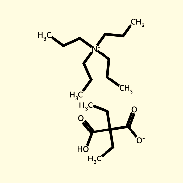 CCC(CC)(C(=O)[O-])C(=O)O.CCC[N+](CCC)(CCC)CCC